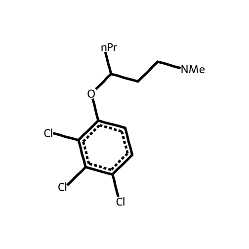 CCCC(CCNC)Oc1ccc(Cl)c(Cl)c1Cl